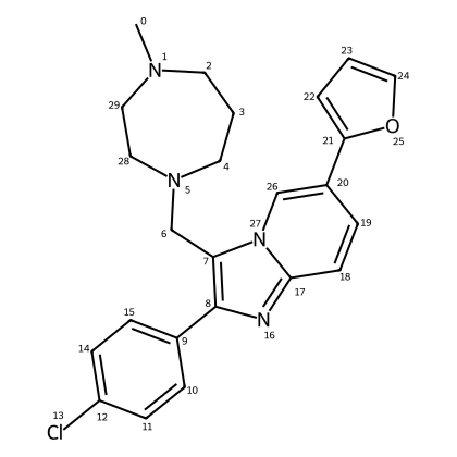 CN1CCCN(Cc2c(-c3ccc(Cl)cc3)nc3ccc(-c4ccco4)cn23)CC1